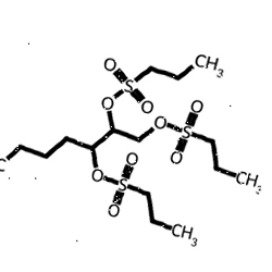 CCCCC(OS(=O)(=O)CCC)C(COS(=O)(=O)CCC)OS(=O)(=O)CCC